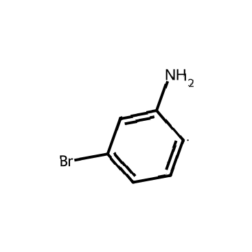 Nc1[c]ccc(Br)c1